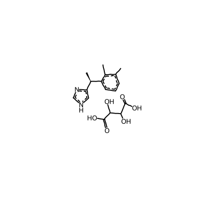 Cc1cccc([C@H](C)c2c[nH]cn2)c1C.O=C(O)C(O)C(O)C(=O)O